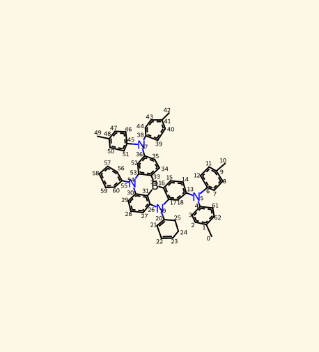 Cc1ccc(N(c2ccc(C)cc2)c2ccc3c(c2)N(C2=CC=CCC2)c2cccc4c2B3c2ccc(N(c3ccc(C)cc3)c3ccc(C)cc3)cc2N4c2ccccc2)cc1